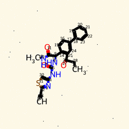 C#Cc1nc(NC(=O)N[C@@H](C(=O)NC)c2ccc(-c3ccccc3)cc2C(=O)CC)cs1